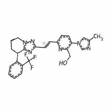 Cc1cn(-c2ccc(/C=C/c3nc4n(n3)CCCC4c3ccccc3C(F)(F)F)nc2CO)cn1